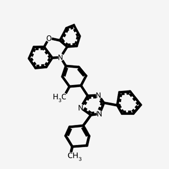 CC1C=CC(c2nc(-c3ccccc3)nc(C3C=CC(N4c5ccccc5Oc5ccccc54)=CC3C)n2)=CC1